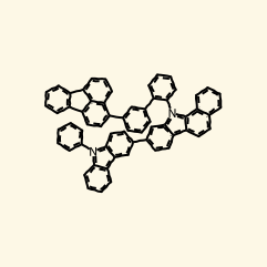 c1ccc(-n2c3ccccc3c3cc(-c4ccc5c6ccc7ccccc7c6n(-c6ccccc6-c6cccc(-c7ccc8c9c(cccc79)-c7ccccc7-8)c6)c5c4)ccc32)cc1